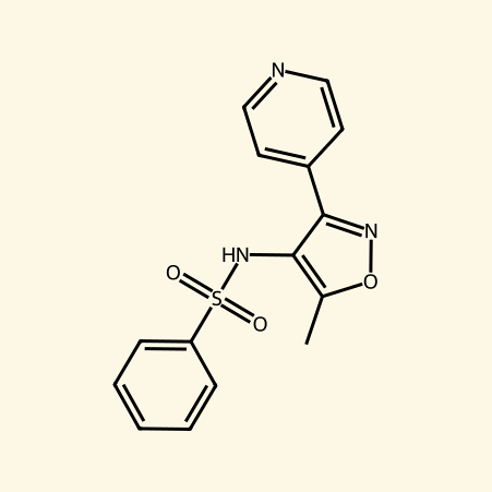 Cc1onc(-c2ccncc2)c1NS(=O)(=O)c1ccccc1